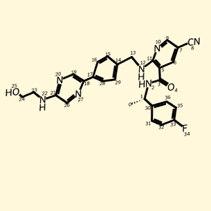 C[C@H](NC(=O)c1cc(C#N)cnc1NCc1ccc(-c2cnc(NCCO)cn2)cc1)c1ccc(F)cc1